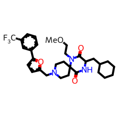 COCCN1C(=O)C(CC2CCCCC2)NC(=O)C12CCN(Cc1ccc(-c3cccc(C(F)(F)F)c3)o1)CC2